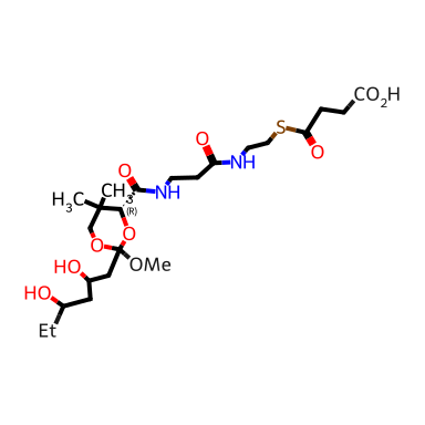 CCC(O)CC(O)CC1(OC)OCC(C)(C)[C@H](C(=O)NCCC(=O)NCCSC(=O)CCC(=O)O)O1